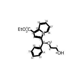 CCOC(=O)c1cc([C@@H](OCCO)c2ccccc2)n2ccccc12